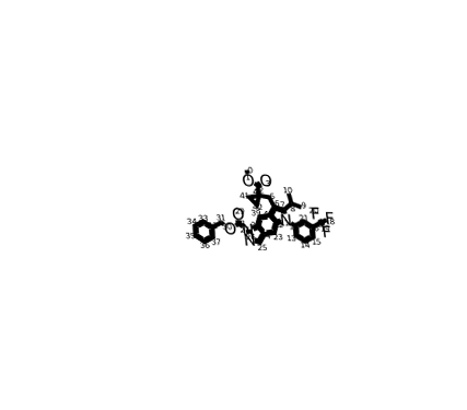 COC(=O)C1(Cc2c(C(C)C)n(-c3cccc(C(F)(F)F)c3)c3cc4cnn(C(=O)OCc5ccccc5)c4cc23)CC1